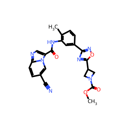 COC(=O)N1CC(c2nc(-c3ccc(C)c(NC(=O)c4cnc5ccc(C#N)cn45)c3)no2)C1